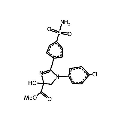 COC(=O)C1(O)CN(c2ccc(Cl)cc2)C(c2ccc(S(N)(=O)=O)cc2)=N1